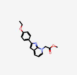 CCOc1ccc(-c2cc3cccn(CC(=O)OC)c-3n2)cc1